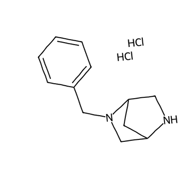 Cl.Cl.c1ccc(CN2CC3CC2CN3)cc1